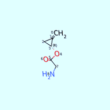 C=C1C[C@H]1OC(=O)CN